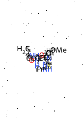 C=CC1C[C@]1(NC(=O)[C@@H]1CC(Oc2cc(-c3csc(NC(C)C)n3)nc3cc(OC)ccc23)CN1)C(=O)OCC